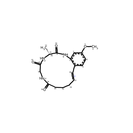 COc1ccc2c(c1)NC(=O)[C@@H](C)NC(=O)CNC(=O)CCC/C=C/2